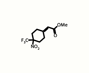 COC(=O)C=C1CCC([N+](=O)[O-])(C(F)(F)F)CC1